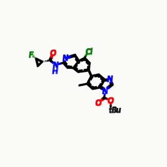 Cc1cc2c(cc1-c1cc(Cl)c3cnc(NC(=O)[C@@H]4C[C@@H]4F)cc3c1)ncn2C(=O)OC(C)(C)C